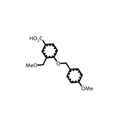 COCc1cc(C(=O)O)ccc1OCc1ccc(OC)cc1